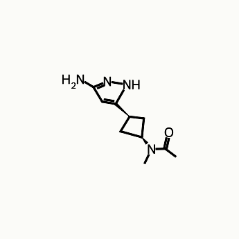 CC(=O)N(C)[C@H]1C[C@@H](c2cc(N)n[nH]2)C1